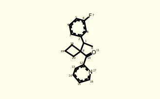 CC(c1cccc(F)c1)C1(C(=O)c2ccccn2)CCC1